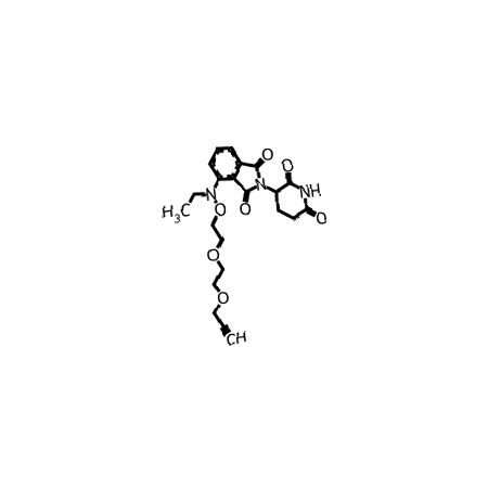 C#CCOCCOCCON(CC)c1cccc2c1C(=O)N(C1CCC(=O)NC1=O)C2=O